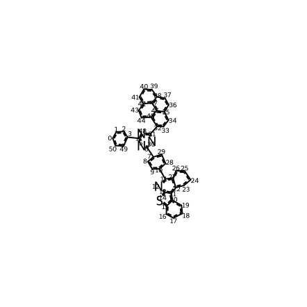 c1ccc(-c2nc(-c3ccc(-c4nc5sc6ccccc6c5c5ccccc45)cc3)nc(-c3ccc4ccc5cccc6ccc3c4c56)n2)cc1